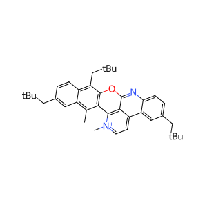 Cc1c2c(c(CC(C)(C)C)c3ccc(CC(C)(C)C)cc13)Oc1nc3ccc(CC(C)(C)C)cc3c3cc[n+](C)c-2c13